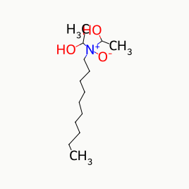 CCCCCCCCCC[N+]([O-])(C(C)O)C(C)O